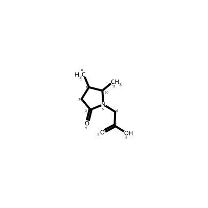 CC1CC(=O)N(CC(=O)O)C1C